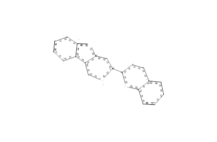 c1ccc2nc(-c3cc4sc5ccccc5c4cn3)ccc2c1